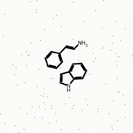 NC=Cc1ccccc1.c1ccc2[nH]ccc2c1